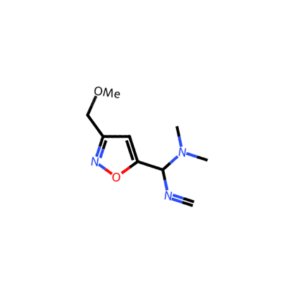 C=NC(c1cc(COC)no1)N(C)C